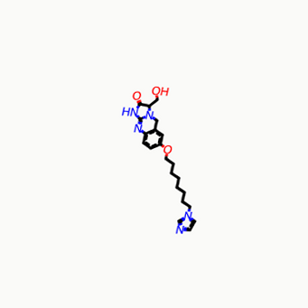 O=C1NC2=Nc3ccc(OCCCCCCCCn4ccnc4)cc3CN2C1CO